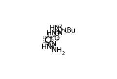 CC(C)(C)c1c[nH]c(NC(=O)c2cccc3[nH]c(N)nc23)n1